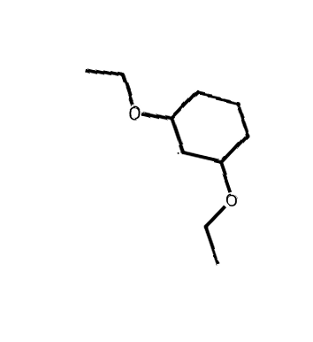 CCOC1[CH]C(OCC)CCC1